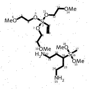 C=C[Si](OCCOC)(OCCOC)OCCOC.CO[Si](C)(OC)C(CCN)CCN